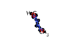 Cc1cccc(N(C2=CCCc3c2oc2ccccc32)c2ccc3c(c2)c2cccc4c5cc6c(cc5n3c24)c2cccc3c4cc(N(c5cccc(C)c5)c5cccc7c5oc5ccccc57)ccc4n6c32)c1